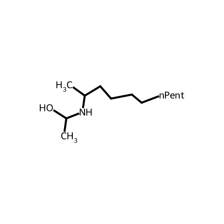 CCCCCCCCCC(C)NC(C)O